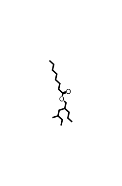 CCCCCCCC(=O)OCC(CCC)CC(C)CC